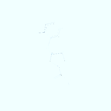 Cc1cccnc1OC1CCN(C(=O)OC(C)(C)C)C1